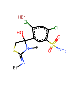 Br.CCN=C1SCC(O)(c2cc(S(N)(=O)=O)c(Cl)cc2Cl)N1CC